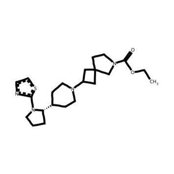 CCOC(=O)N1CCC2(CC(N3CCC([C@@H]4CCCN4c4nccs4)CC3)C2)C1